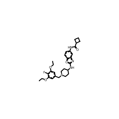 CCOc1cc(CN2CCC(Nc3nc4cc(NC(=O)C5CCC5)ccc4o3)CC2)cc(OCC)c1F